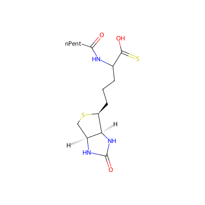 CCCCCC(=O)NC(CCC[C@@H]1SC[C@@H]2NC(=O)N[C@@H]21)C(O)=S